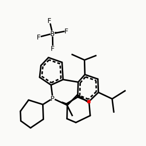 CC(C)c1cc(C(C)C)c(-c2ccccc2P(C2CCCCC2)C2CCCCC2)c(C(C)C)c1.F[B-](F)(F)F